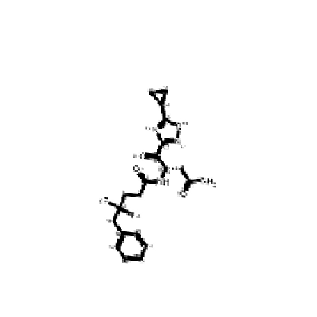 NC(=O)C[C@H](NC(=O)[CH]CC(F)(F)Cc1ccccc1)C(=O)c1noc(C2CC2)n1